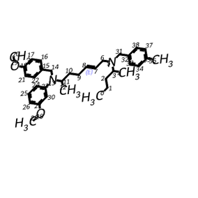 CCCC(C)N(C/C=C/CCC(C)N(Cc1ccc(OC)cc1)c1cccc(OC)c1)Cc1ccc(C)cc1